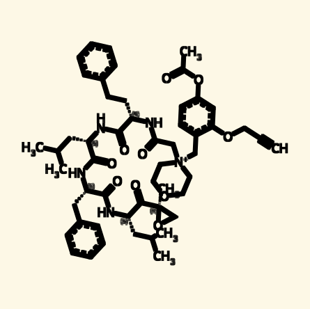 C#CCOc1cc(OC(C)=O)ccc1C[N+]1(CC(=O)N[C@@H](CCc2ccccc2)C(=O)N[C@@H](CC(C)C)C(=O)N[C@@H](Cc2ccccc2)C(=O)N[C@@H](CC(C)C)C(=O)[C@@]2(C)CO2)CCOCC1